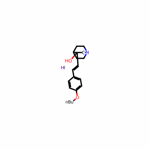 CCCCOc1ccc(C=CC2(O)CN3CCC2CC3)cc1.I